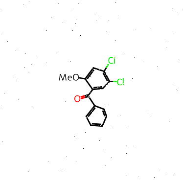 COc1cc(Cl)c(Cl)cc1C(=O)c1ccccc1